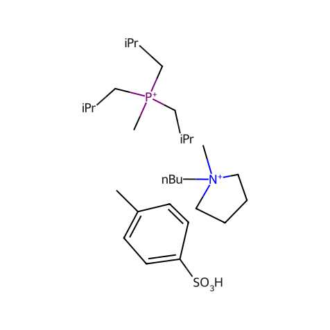 CC(C)C[P+](C)(CC(C)C)CC(C)C.CCCC[N+]1(C)CCCC1.Cc1ccc(S(=O)(=O)O)cc1